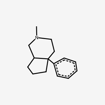 CN1CCC2(c3ccccc3)CCCC2C1